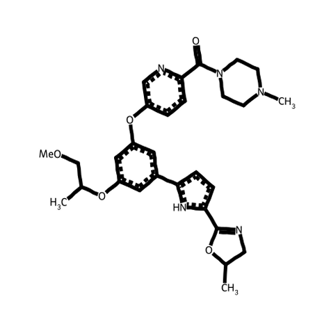 COCC(C)Oc1cc(Oc2ccc(C(=O)N3CCN(C)CC3)nc2)cc(-c2ccc(C3=NCC(C)O3)[nH]2)c1